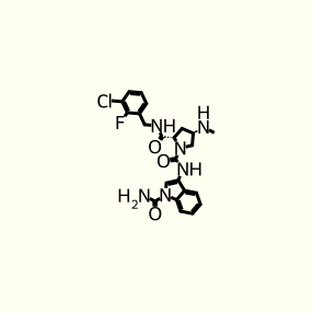 CN[C@H]1C[C@@H](C(=O)NCc2cccc(Cl)c2F)N(C(=O)Nc2cn(C(N)=O)c3ccccc23)C1